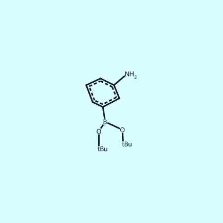 CC(C)(C)OB(OC(C)(C)C)c1cccc(N)c1